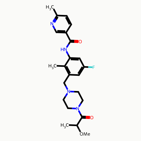 COC(C)C(=O)N1CCN(Cc2cc(F)cc(NC(=O)c3ccc(C)nc3)c2C)CC1